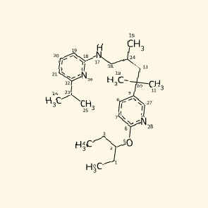 CCC(CC)Oc1ccc(C(C)(C)CC(C)CNc2cccc(C(C)C)n2)cn1